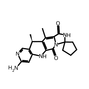 Cc1c2c(c(=O)n3c1C(=O)NC31CCCC1)Nc1cc(N)ncc1[C@H]2C